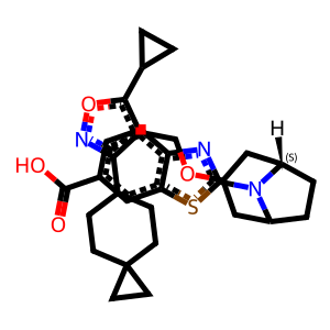 O=C(O)c1ccc2nc(N3C4CC[C@H]3CC(OCc3c(C5CCC6(CC5)CC6)noc3C3CC3)C4)sc2c1